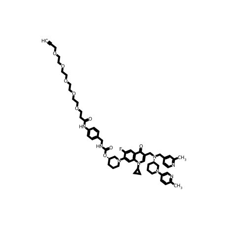 C#CCOCCOCCOCCOCCOCCC(=O)Nc1ccc(CNC(=O)O[C@H]2CCCN(c3cc4c(cc3F)c(=O)c(CN(Cc3ccnc(C)c3)[C@H]3CCCN(c5ccc(C)nc5)C3)cn4C3CC3)C2)cc1